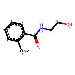 COc1c[c]ccc1C(=O)NCCO